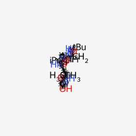 C=C(c1nnc(C(C)(C)C)o1)[C@@H](NC(=O)[C@@H]1CCCN1C(=O)[C@@H](NC(=O)CCCCC(C)(C)NC(=O)c1ccc(O)cn1)C(C)C)C(C)C